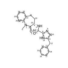 CN1C(=O)[C@@H](NC(O)c2nnc(Cc3ccccc3)[nH]2)CCc2cccnc21